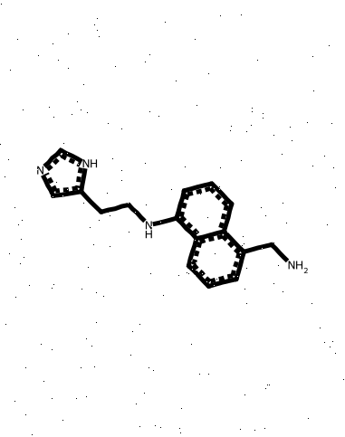 NCc1cccc2c(NCCc3cnc[nH]3)cccc12